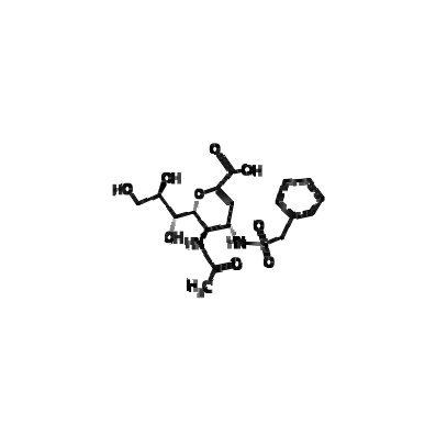 CC(=O)N[C@H]1[C@H]([C@H](O)[C@H](O)CO)OC(C(=O)O)=C[C@@H]1NS(=O)(=O)Cc1ccccc1